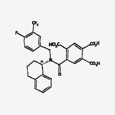 O=C(O)c1cc(C(=O)O)c(C(=O)N(Cc2ccc(F)c(C(F)(F)F)c2)[C@H]2CCCc3ccccc32)cc1C(=O)O